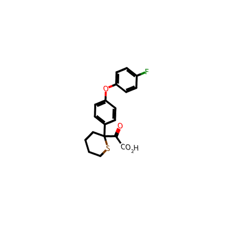 O=C(O)C(=O)C1(c2ccc(Oc3ccc(F)cc3)cc2)CCCCS1